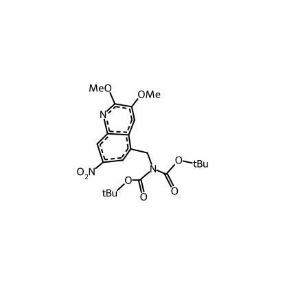 COc1cc2c(CN(C(=O)OC(C)(C)C)C(=O)OC(C)(C)C)cc([N+](=O)[O-])cc2nc1OC